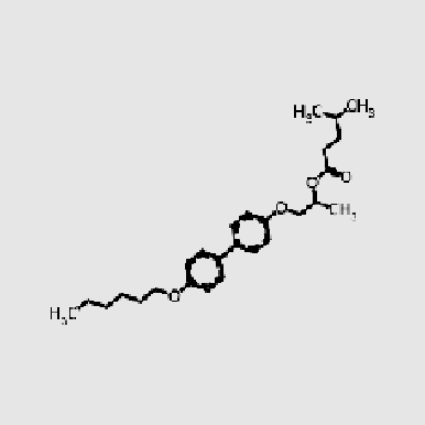 CCCCCCOc1ccc(-c2ccc(OCC(C)OC(=O)CCC(C)C)cc2)cc1